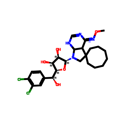 CO/N=C1\N=CNC2C1C1(CCCCCCC1)CN2[C@@H]1O[C@H]([C@H](O)c2ccc(Cl)c(Cl)c2)[C@@H](O)[C@H]1O